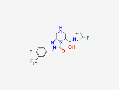 O=c1n(Cc2ccc(F)c(C(F)(F)F)c2)nc2n1C(C(O)N1CC[C@H](F)C1)CNC2